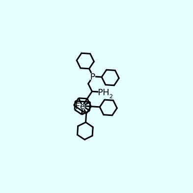 PC(CP(C1CCCCC1)C1CCCCC1)[C]12[CH]3[CH]4[C]5(C6CCCCC6)[C]1(C1CCCCC1)[Fe]34251678[CH]2[CH]1[CH]6[CH]7[CH]28